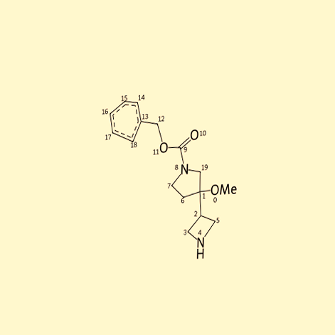 COC1(C2CNC2)CCN(C(=O)OCc2ccccc2)C1